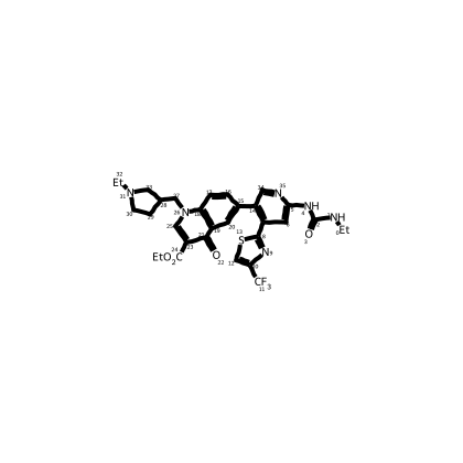 CCNC(=O)Nc1cc(-c2nc(C(F)(F)F)cs2)c(-c2ccc3c(c2)c(=O)c(C(=O)OCC)cn3CC2CCN(CC)C2)cn1